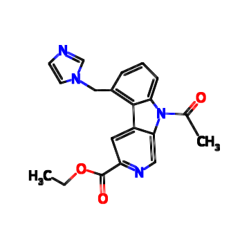 CCOC(=O)c1cc2c3c(Cn4ccnc4)cccc3n(C(C)=O)c2cn1